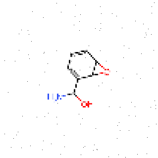 NC(O)C1=CC=CC2OC12